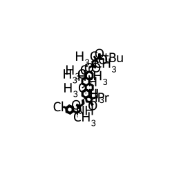 CC(C)C1=C2[C@H]3CC[C@@H]4[C@@]5(C)CC[C@H](OC(=O)CC(C)(C)C(=O)OC(C)(C)C)C(C)(C)[C@@H]5CC[C@@]4(C)[C@]3(C)CC[C@@]2(/C=C/C(=O)N[C@H](C)c2ccc(Cl)cc2)CC1=O